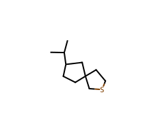 CC(C)C1CCC2(CCSC2)C1